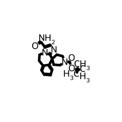 CC(C)(C)OC(=O)N1CCC2(CC1)c1ccccc1CCn1c(C(N)=O)cnc12